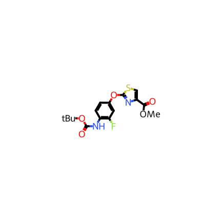 COC(=O)c1csc(Oc2ccc(NC(=O)OC(C)(C)C)c(F)c2)n1